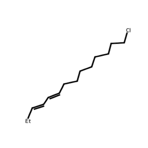 CC/C=C/C=C/CCCCCCCCCl